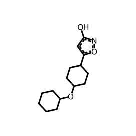 Oc1cc(C2CCC(OC3CCCCC3)CC2)on1